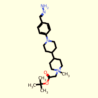 CC(C)(C)OC(=O)C[N+]1(C)CCC(C2CCN(c3ccc(C=NN)cc3)CC2)CC1